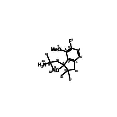 COc1c(F)ccc2c1C(O)(CC(C)(C)N)C(C)(C)C2